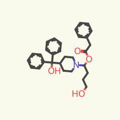 O=C(Cc1ccccc1)OC(CCCO)N1CCC(C(O)(c2ccccc2)c2ccccc2)CC1